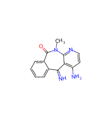 Cn1c(=O)c2ccccc2c(=N)c2c(N)ccnc21